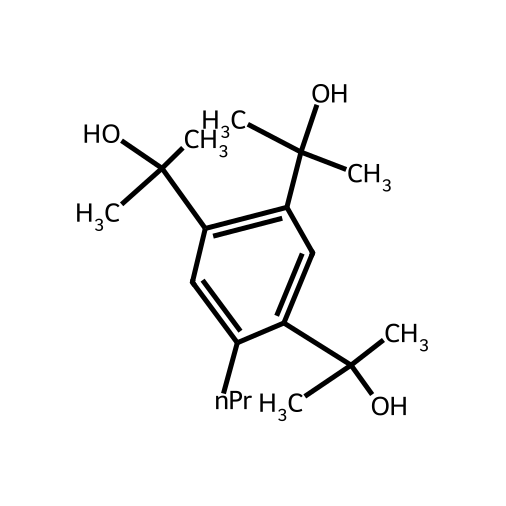 CCCc1cc(C(C)(C)O)c(C(C)(C)O)cc1C(C)(C)O